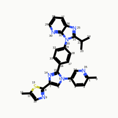 Cc1ccc(-n2cc(-c3ncc(C)s3)nc2-c2ccc(-n3c(C(C)C)nc4cccnc43)cc2)cn1